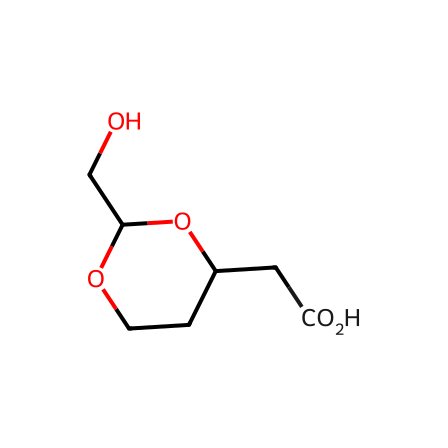 O=C(O)CC1CCOC(CO)O1